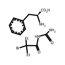 CCC(Br)(CC)C(=O)NC(N)=O.N[C@@H](Cc1ccccc1)C(=O)O